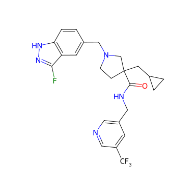 O=C(NCc1cncc(C(F)(F)F)c1)C1(CC2CC2)CCN(Cc2ccc3[nH]nc(F)c3c2)C1